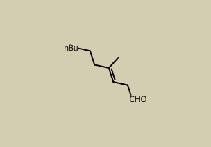 CCCCCC/C(C)=C/CC=O